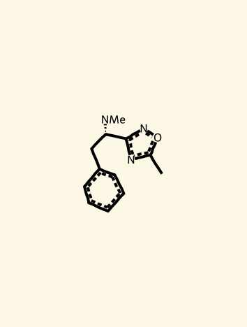 CN[C@@H](Cc1ccccc1)c1noc(C)n1